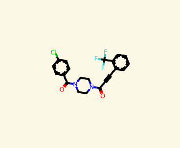 O=C(C#Cc1ccccc1C(F)(F)F)N1CCN(C(=O)c2ccc(Cl)cc2)CC1